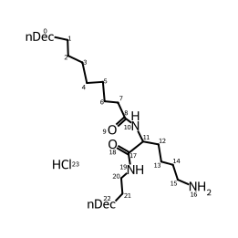 CCCCCCCCCCCCCCCCCC(=O)NC(CCCCN)C(=O)NCCCCCCCCCCCC.Cl